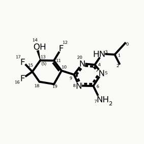 CC(C)Nc1nc(N)nc(C2=C(F)[C@H](O)C(F)(F)CC2)n1